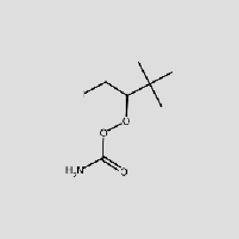 CC(C)(C)C(CI)OOC(N)=O